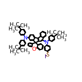 CC(C)(C)c1ccc(N(c2ccc(C(C)(C)C)cc2)c2ccc3c(c2)C2(c4ccccc4Oc4ccccc42)c2cc(N(c4ccc(SI)cc4)c4ccc(C(C)(C)C)cc4)c4ccccc4c2-3)cc1